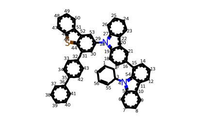 C1=CCC(n2c3ccccc3c3cccc(-c4ccc5c(c4)c4ccccc4n5-c4cc(-c5ccc(-c6ccccc6)cc5)c5sc6ccccc6c5c4)c32)C=C1